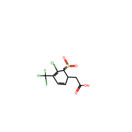 O=C(O)CC1C=CC(C(F)(F)F)=C(Cl)C1=S(=O)=O